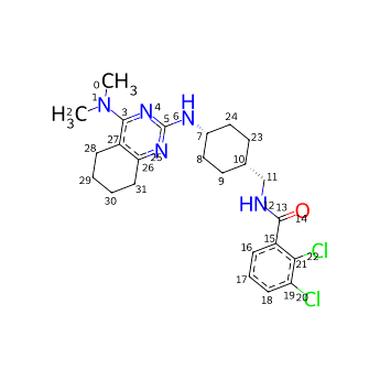 CN(C)c1nc(N[C@H]2CC[C@@H](CNC(=O)c3cccc(Cl)c3Cl)CC2)nc2c1CCCC2